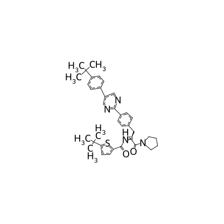 CC(C)(C)c1ccc(-c2cnc(-c3ccc(C[C@H](NC(=O)c4ccc(C(C)(C)C)s4)C(=O)N4CCCC4)cc3)nc2)cc1